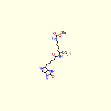 CC(C)(C)OC(=O)NCCCCC(NC(=O)CCCCC1NCC2NC(=O)NC12)C(=O)O